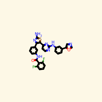 Nc1nc(-c2cccc(NC(=O)c3c(F)cccc3F)c2)c(-c2ccnc(Nc3cccc(-c4cnco4)c3)n2)s1